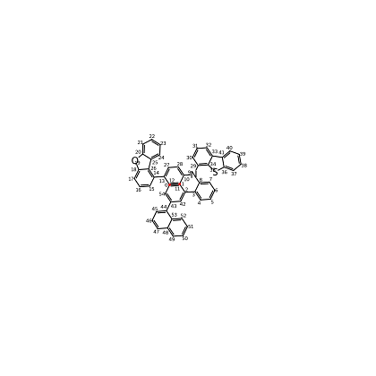 c1cc(-c2ccccc2N(c2ccc(-c3cccc4oc5ccccc5c34)cc2)c2cccc3c2sc2ccccc23)cc(-c2cccc3ccccc23)c1